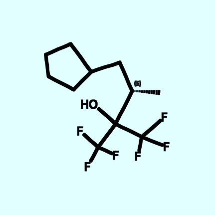 C[C@@H](CC1CCCC1)C(O)(C(F)(F)F)C(F)(F)F